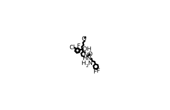 COCCCCC(O)(c1cccc(Cl)c1F)C1CCCN(C(=O)NCC(N)CC2CCC(F)(F)CC2)C1